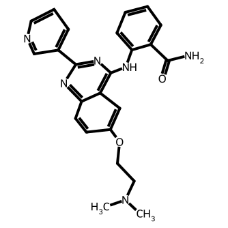 CN(C)CCOc1ccc2nc(-c3cccnc3)nc(Nc3ccccc3C(N)=O)c2c1